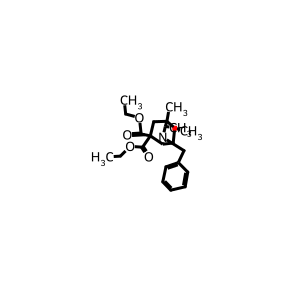 CCOC(=O)C1(C(=O)OCC)CC2(C)C(C)CC1N(Cc1ccccc1)C2C